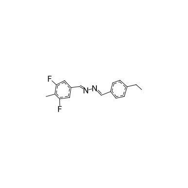 CCc1ccc(C=NN=Cc2cc(F)c(C)c(F)c2)cc1